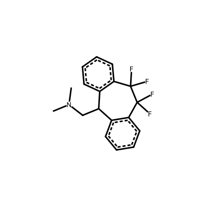 CN(C)CC1c2ccccc2C(F)(F)C(F)(F)c2ccccc21